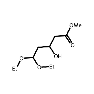 CCOC(CC(O)CC(=O)OC)OCC